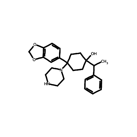 CC(c1ccccc1)C1(O)CCC(c2ccc3c(c2)OCO3)(N2CCNCC2)CC1